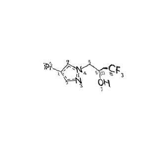 CC(C)c1cnn(C[C@H](O)C(F)(F)F)c1